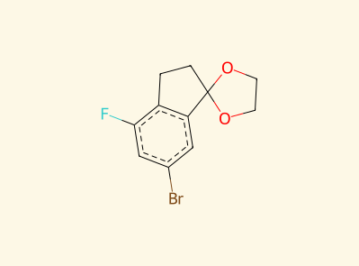 Fc1cc(Br)cc2c1CCC21OCCO1